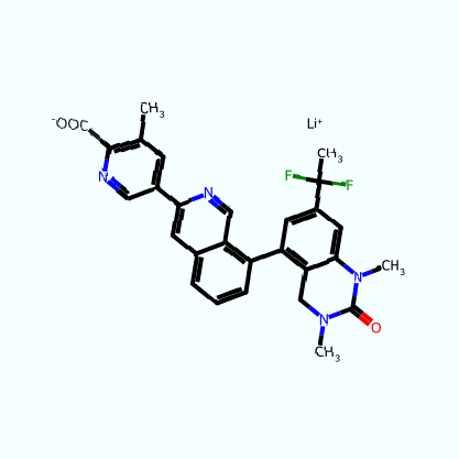 Cc1cc(-c2cc3cccc(-c4cc(C(C)(F)F)cc5c4CN(C)C(=O)N5C)c3cn2)cnc1C(=O)[O-].[Li+]